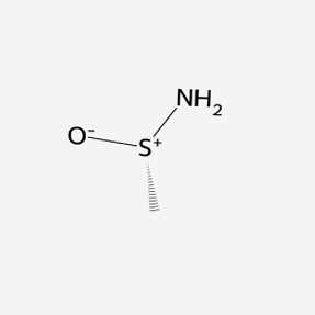 C[S@@+](N)[O-]